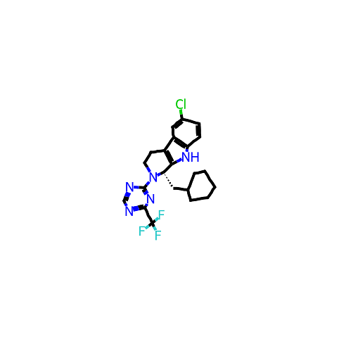 FC(F)(F)c1ncnc(N2CCc3c([nH]c4ccc(Cl)cc34)[C@@H]2CC2CCCCC2)n1